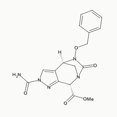 COC(=O)[C@@H]1c2nn(C(N)=O)cc2[C@@H]2CN1C(=O)N2OCc1ccccc1